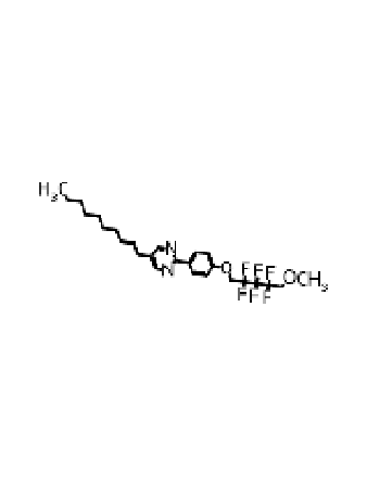 CCCCCCCCCCc1cnc(-c2ccc(OCC(F)(F)C(F)(F)C(F)(F)COC)cc2)nc1